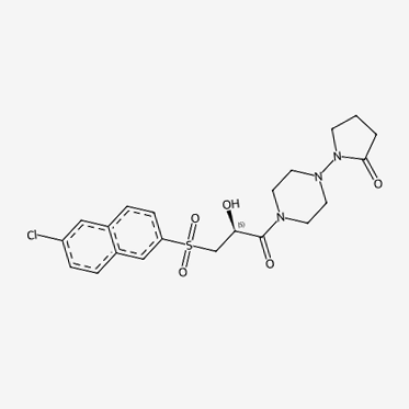 O=C([C@H](O)CS(=O)(=O)c1ccc2cc(Cl)ccc2c1)N1CCN(N2CCCC2=O)CC1